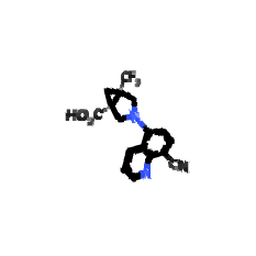 N#Cc1ccc(N2C[C@@]3(C(=O)O)C[C@@]3(C(F)(F)F)C2)c2cccnc12